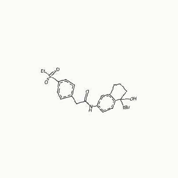 CCS(=O)(=O)c1ccc(CC(=O)Nc2ccc3c(c2)CCCC3(O)C(C)(C)C)cc1